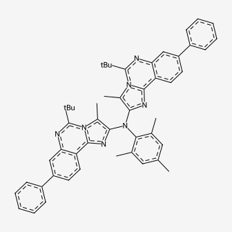 Cc1cc(C)c(N(c2nc3c4ccc(-c5ccccc5)cc4nc(C(C)(C)C)n3c2C)c2nc3c4ccc(-c5ccccc5)cc4nc(C(C)(C)C)n3c2C)c(C)c1